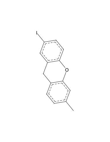 Cc1ccc2c(c1)Oc1ccc(I)cc1C2